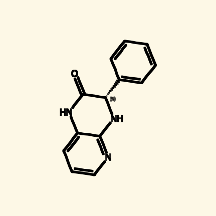 O=C1Nc2cccnc2N[C@H]1c1ccccc1